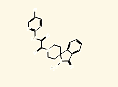 CN1C(=O)c2ccccc2C12CCN(C(=O)C(=O)Nc1ccc(Cl)cn1)CC2